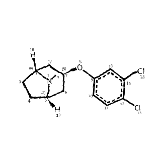 CN1[C@@H]2CC[C@H]1C[C@H](Oc1ccc(Cl)c(Cl)c1)C2